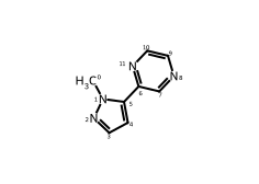 Cn1nccc1-c1cnccn1